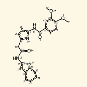 COc1ccc(C(=O)Nc2nc(CC(=O)Nc3nc4ccccc4s3)cs2)cc1OC